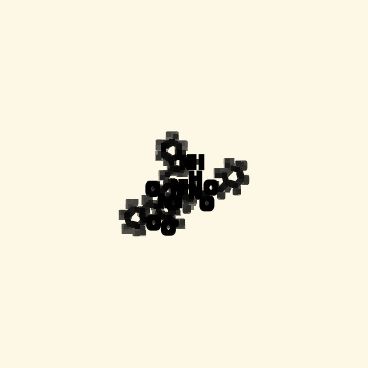 C[C@@H](NC(=O)OCc1ccccc1)C(=O)N[C@@H](Cc1c[nH]c2ccccc12)C(=O)NC(Cc1ccccc1)C(=O)C1(C)CO1